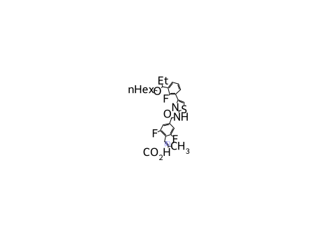 CCCCCCOC(CC)c1cccc(-c2csc(NC(=O)c3cc(F)c(/C=C(\C)C(=O)O)c(F)c3)n2)c1F